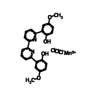 COc1ccc(O)c(-c2cccc(-c3cccc(-c4cc(OC)ccc4O)n3)n2)c1.[Cl-].[Cl-].[Cl-].[Mn+3]